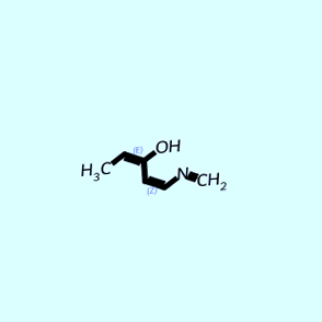 C=N/C=C\C(O)=C/C